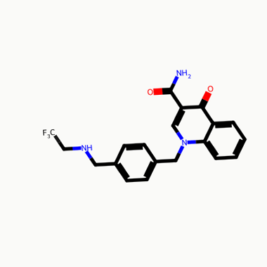 NC(=O)c1cn(Cc2ccc(CNCC(F)(F)F)cc2)c2ccccc2c1=O